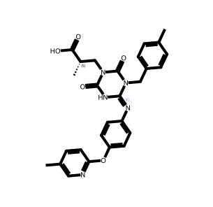 Cc1ccc(Cn2c(=O)n(C[C@H](C)C(=O)O)c(=O)[nH]/c2=N\c2ccc(Oc3ccc(C)cn3)cc2)cc1